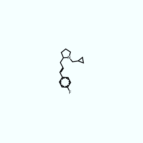 Fc1ccc(C=CCC2CCCN2CC2CC2)cc1